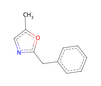 Cc1cnc(Cc2ccccc2)o1